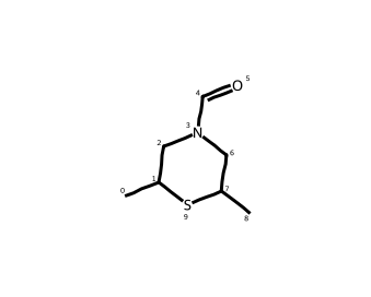 CC1CN(C=O)CC(C)S1